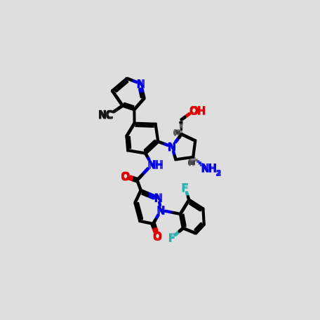 N#Cc1ccncc1-c1ccc(NC(=O)c2ccc(=O)n(-c3c(F)cccc3F)n2)c(N2C[C@@H](N)C[C@H]2CO)c1